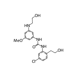 COc1cc(NCCO)cc(NC(=O)Nc2cc(Cl)ccc2CCO)c1